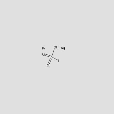 O=S(=O)(O)I.[Ag].[Bi]